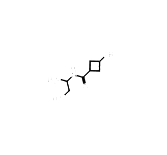 CCC(C)NC(=O)C1CC(C)C1